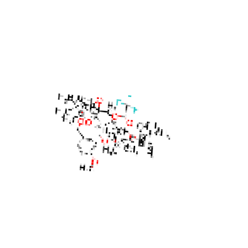 C=C[C@@H](CO[Si](C)(C)C(C)(C)C)[C@@H](OC(=O)C(F)(F)F)[C@H](CO[Si](C)(C)C(C)(C)C)[C@H](O[Si](C)(C)C(C)(C)C)C1(C)O[C@@H]1[C@@H](C)COCc1ccc(OC)cc1